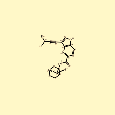 O=C(N[C@H]1CN2CCC1CC2)c1ccc2occ(C#CC(F)F)c2n1